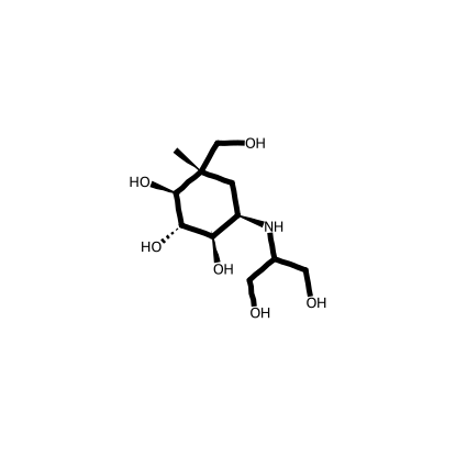 C[C@@]1(CO)C[C@@H](NC(CO)CO)[C@@H](O)[C@H](O)[C@H]1O